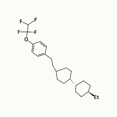 CC[C@H]1CC[C@H](C2CCC(CCc3ccc(OC(F)(F)C(F)F)cc3)CC2)CC1